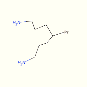 CC(C)C(CCCN)CCCN